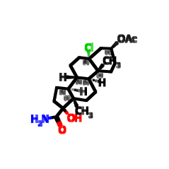 CC(=O)O[C@H]1CC[C@]2(C)[C@H]3CC[C@@]4(C)[C@@H](CCC4(O)C(N)=O)[C@@H]3CC[C@@]2(Cl)C1